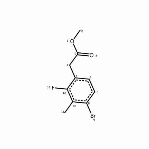 COC(=O)Cc1ccc(Br)c(C)c1F